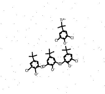 CC(C)(C)c1cc(Cl)c([O-])c(Cl)c1.CC(C)(C)c1cc(Cl)c([O-])c(Cl)c1.CC(C)(C)c1cc(Cl)c([O-])c(Cl)c1.CC(C)(C)c1cc(Cl)c([O-])c(Cl)c1.[Ti+4]